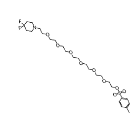 Cc1ccc(S(=O)(=O)OCCOCCOCCOCCOCCOCCOCCN2CCC(F)(F)CC2)cc1